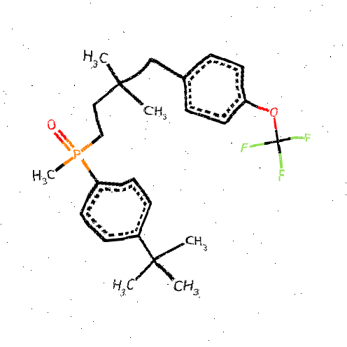 CC(C)(CCP(C)(=O)c1ccc(C(C)(C)C)cc1)Cc1ccc(OC(F)(F)F)cc1